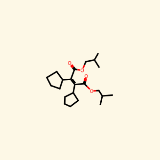 CC(C)COC(=O)/C(=C(\C(=O)OCC(C)C)C1CCCC1)C1CCCC1